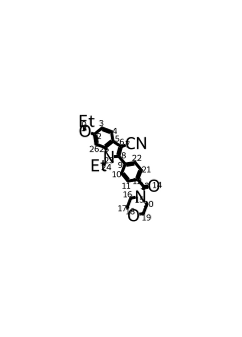 CCOc1ccc2c(C#N)c(-c3ccc(C(=O)N4CCOCC4)cc3)n(CC)c2c1